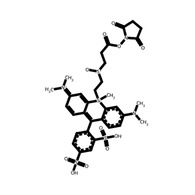 CN(C)c1ccc2c(c1)[Si](C)(CC[S+]([O-])CCC(=O)ON1C(=O)CCC1=O)C1=CC(=[N+](C)C)C=CC1=C2c1ccc(S(=O)(=O)O)cc1S(=O)(=O)O